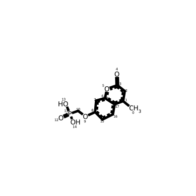 Cc1cc(=O)oc2cc(OCP(=O)(O)O)ccc12